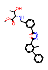 COC(=O)[C@@H](NCc1cccc(-c2nnc(-c3cccc(-c4ccccc4)c3C)o2)c1)[C@@H](C)O